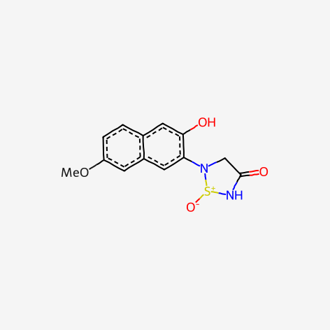 COc1ccc2cc(O)c(N3CC(=O)N[S+]3[O-])cc2c1